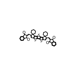 O=C1C(=CC2=Cc3sc4c(sc5c6c(sc54)C=C(C=C4C(=O)c5ccccc5C4=O)C64CCCCC4)c3C23CCCCC3)C(=O)c2ccccc21